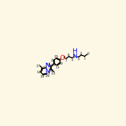 CCCCNCCCOc1ccc(-c2nc3c(C)cccn3c2C)cc1